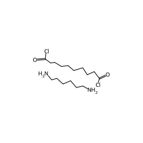 NCCCCCCN.O=C(Cl)CCCCCCCCC(=O)Cl